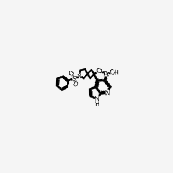 O=S(=O)(c1ccccc1)N1CCC2(C1)CC1(C2)OB(O)c2cnc3[nH]ccc3c21